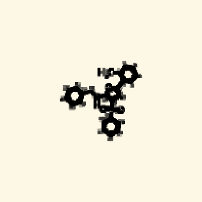 Cc1ccccc1-c1nc(S(=O)(=O)c2ccccc2)c(NCc2ccccc2)o1